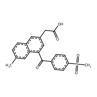 Cc1ccc2cc(CC(=O)O)cc(C(=O)c3ccc(S(C)(=O)=O)cc3)c2c1